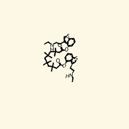 CCNCCc1csc2cccc(OC(=O)CC(C)(C)CC(C)(C)CC(C)(C)CC(C)(C)CC(=O)Oc3cccc4scc(CCNCC)c34)c12